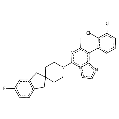 Cc1nc(N2CCC3(CC2)Cc2ccc(F)cc2C3)n2ccnc2c1-c1cccc(Cl)c1Cl